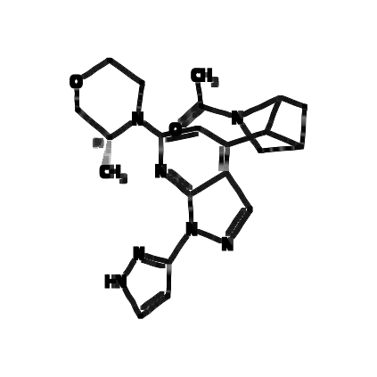 CC(=O)N1CC2CC1C2c1cc(N2CCOC[C@H]2C)nc2c1cnn2-c1cc[nH]n1